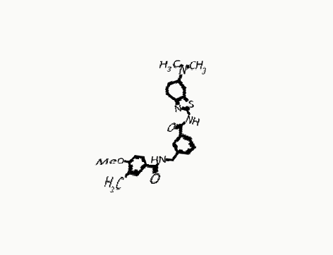 COc1ccc(C(=O)NCc2cccc(C(=O)Nc3nc4c(s3)CC(N(C)C)CC4)c2)cc1C